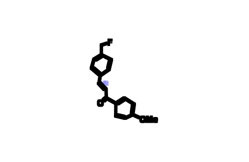 COc1ccc(C(=O)/C=C/c2ccc(CF)cc2)cc1